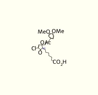 COc1ccc(CCCC2(OC(C)=O)C=C(Cl)C(=O)/C2=C\CCCCCC(=O)O)cc1OC